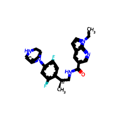 CCn1ccc2cc(C(=O)NC[C@@H](C)c3cc(F)c(N4CC5CCCC4CN5)cc3F)cnc21